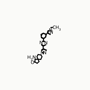 CCn1cc(-c2cccc(-c3ncc(-c4cnn(C5CCC6(CCC(=O)C6N)CC5)c4)cn3)c2)cn1